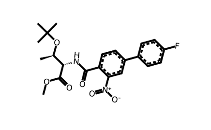 COC(=O)[C@@H](NC(=O)c1ccc(-c2ccc(F)cc2)cc1[N+](=O)[O-])[C@@H](C)OC(C)(C)C